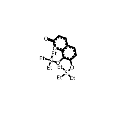 CC[Si](CC)(CC)Oc1ccc2ccc(=O)oc2c1O[Si](CC)(CC)CC